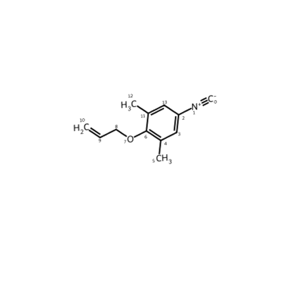 [C-]#[N+]c1cc(C)c(OCC=C)c(C)c1